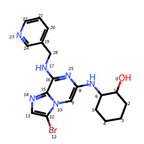 OC1CCCCC1Nc1cn2c(Br)cnc2c(NCc2cccnc2)n1